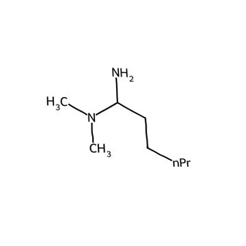 [CH2]CCCCC(N)N(C)C